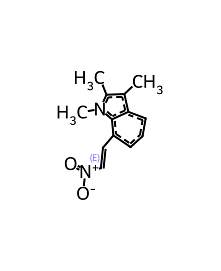 Cc1c(C)n(C)c2c(/C=C/[N+](=O)[O-])cccc12